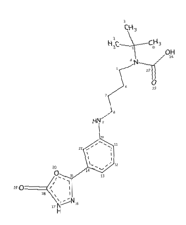 CC(C)(C)N(CCCCNc1cccc(-c2n[nH]c(=O)o2)c1)C(=O)O